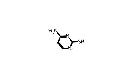 NC1=NC(S)[N]C=C1